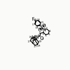 O=C(CC1CCCCN1S(=O)(=O)c1ccc(F)cc1)NC12CC3CC(CC(C3)C1)C2